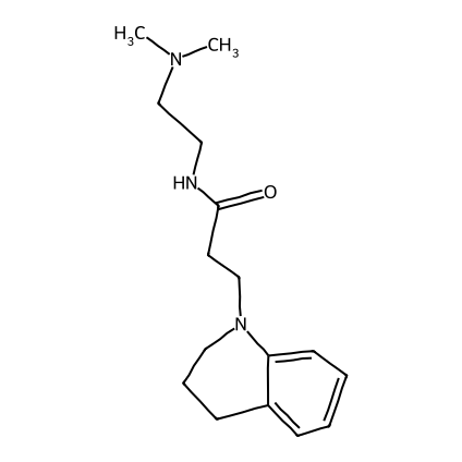 CN(C)CCNC(=O)CCN1CCCc2ccccc21